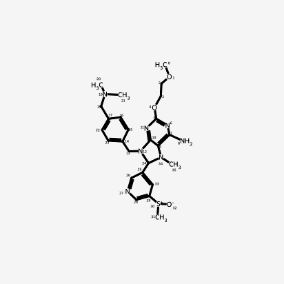 COCCOc1nc(N)c2c(n1)N(Cc1ccc(CN(C)C)cc1)C(c1cncc([S+](C)[O-])c1)N2C